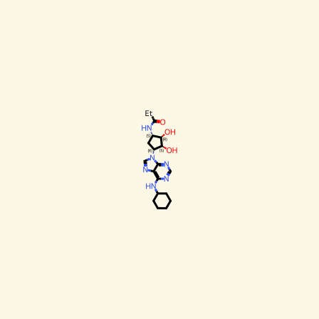 CCC(=O)N[C@H]1C[C@@H](n2cnc3c(NC4CCCCC4)ncnc32)[C@H](O)[C@@H]1O